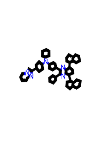 c1ccc(-c2nc3c(-c4cccc5ccccc45)ccc(-c4cccc5ccccc45)c3nc2-c2ccc(N(c3ccccc3)c3ccc(-c4cn5ccccc5n4)cc3)cc2)cc1